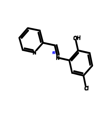 Oc1ccc(Cl)cc1/N=C/c1ccccn1